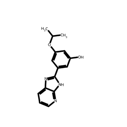 CC(C)Oc1cc(O)cc(-c2nc3cccnc3[nH]2)c1